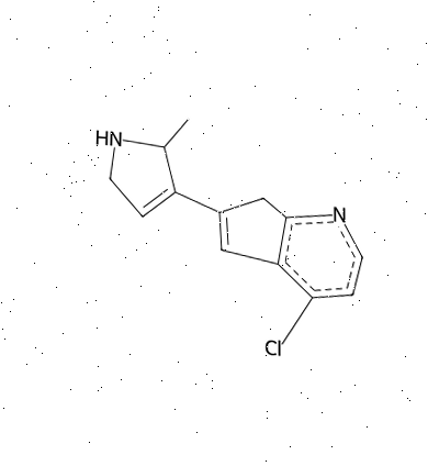 CC1NCC=C1C1=Cc2c(Cl)ccnc2C1